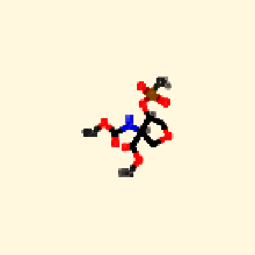 CC(C)(C)OC(=O)N[C@]1(C(=O)OC(C)(C)C)COC[C@@H]1OS(=O)(=O)C(F)(F)F